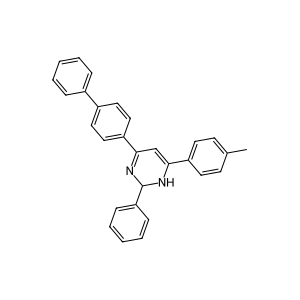 Cc1ccc(C2=CC(c3ccc(-c4ccccc4)cc3)=NC(c3ccccc3)N2)cc1